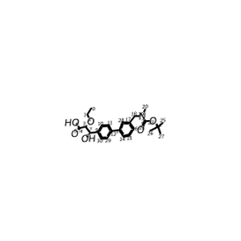 CCO[C@H](C(=O)O)[C@H](O)c1ccc(-c2cccc(CN(C)C(=O)OC(C)(C)C)c2)cc1